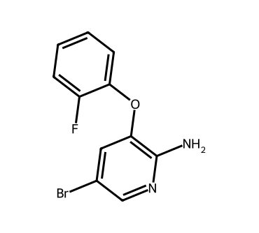 Nc1ncc(Br)cc1Oc1ccccc1F